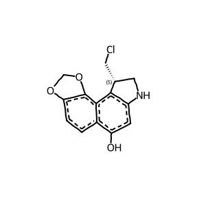 Oc1cc2c(c3c4c(ccc13)OCO4)[C@H](CCl)CN2